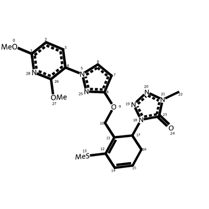 COc1ccc(-n2ccc(OCC3=C(SC)C=CCC3n3nnn(C)c3=O)n2)c(OC)n1